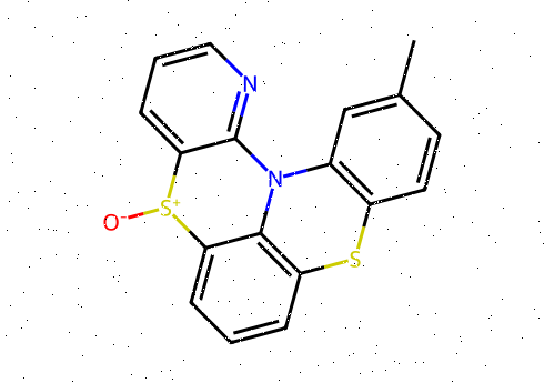 Cc1ccc2c(c1)N1c3ncccc3[S+]([O-])c3cccc(c31)S2